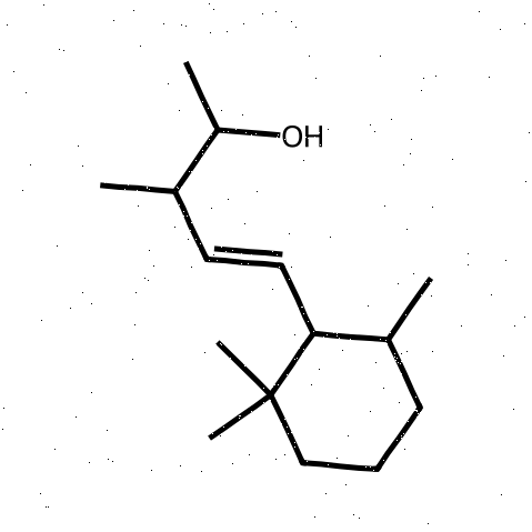 CC(O)C(C)/C=C/C1C(C)CCCC1(C)C